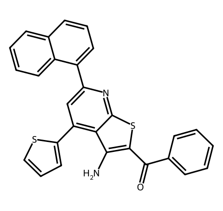 Nc1c(C(=O)c2ccccc2)sc2nc(-c3cccc4ccccc34)cc(-c3cccs3)c12